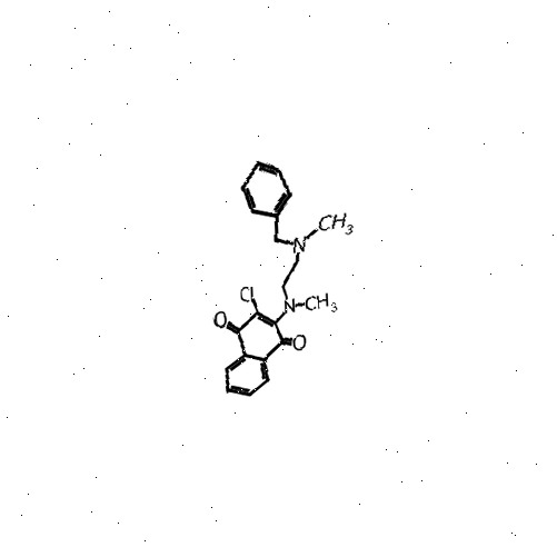 CN(CCN(C)C1=C(Cl)C(=O)c2ccccc2C1=O)Cc1ccccc1